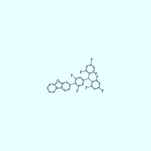 Fc1cc(F)c(C(c2cc(F)c(-c3ccc4c(c3)oc3ccccc34)c(F)c2)c2c(F)cc(F)cc2F)c(F)c1